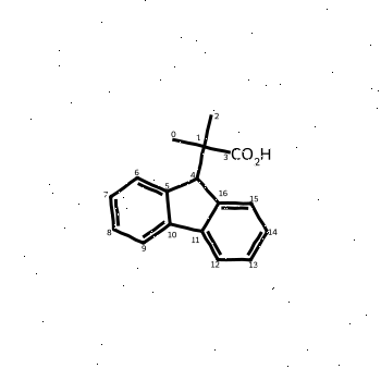 CC(C)(C(=O)O)C1c2ccccc2-c2ccccc21